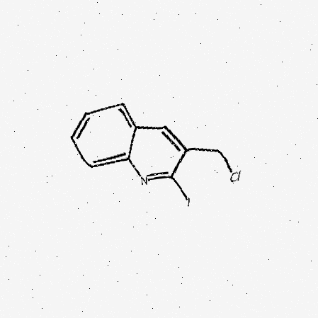 ClCc1cc2ccccc2nc1I